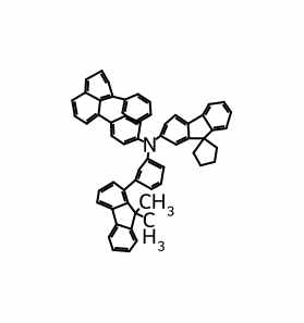 CC1(C)c2ccccc2-c2cccc(-c3cccc(N(c4ccc(-c5cccc6cccc(-c7ccccc7)c56)cc4)c4ccc5c(c4)C4(CCCC4)c4ccccc4-5)c3)c21